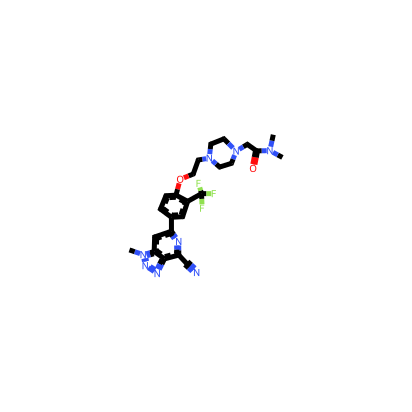 CN(C)C(=O)CN1CCN(CCOc2ccc(-c3cc4c(nnn4C)c(C#N)n3)cc2C(F)(F)F)CC1